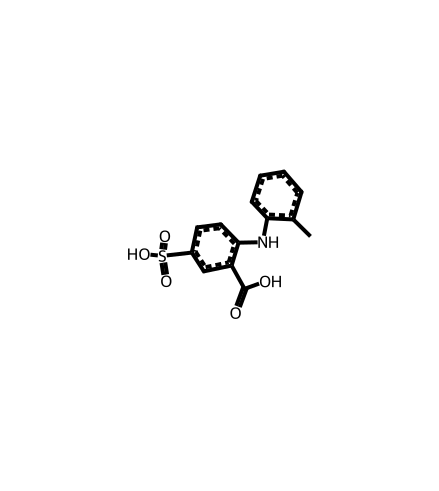 Cc1ccccc1Nc1ccc(S(=O)(=O)O)cc1C(=O)O